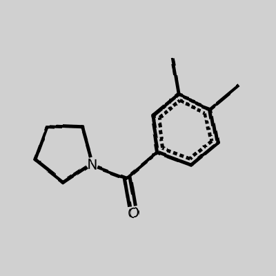 Cc1ccc(C(=O)N2CCCC2)cc1C